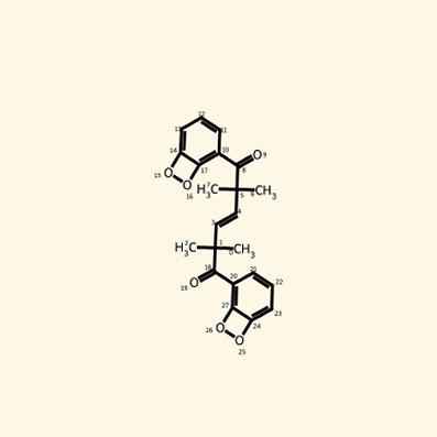 CC(C)(C=CC(C)(C)C(=O)c1cccc2ooc12)C(=O)c1cccc2ooc12